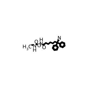 CCNC(=O)ONC(=O)CCCCCC(C#N)(c1ccccc1)c1ccccc1